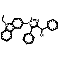 CCn1c2ccccc2c2cc(-n3nnc(C(O)c4ccccc4)c3-c3ccccc3)ccc21